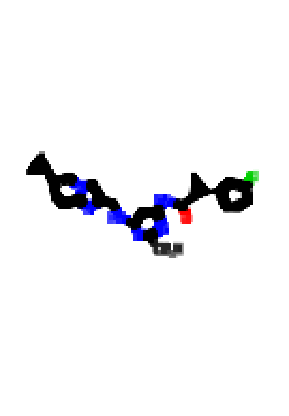 O=C(O)c1nc(NCc2cn3cc(C4CC4)ccc3n2)cc(NC(=O)[C@H]2C[C@@H]2c2cccc(Cl)c2)n1